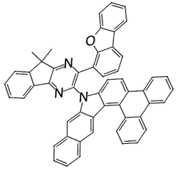 CC1(C)c2ccccc2-c2nc(-n3c4cc5ccccc5cc4c4c5c6ccccc6c6ccccc6c5ccc43)c(-c3cccc4c3oc3ccccc34)nc21